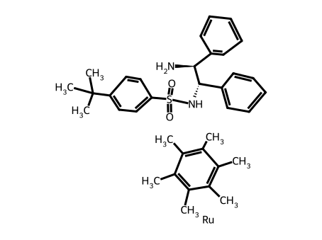 CC(C)(C)c1ccc(S(=O)(=O)N[C@@H](c2ccccc2)[C@@H](N)c2ccccc2)cc1.Cc1c(C)c(C)c(C)c(C)c1C.[Ru]